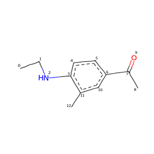 CCNc1ccc(C(C)=O)cc1C